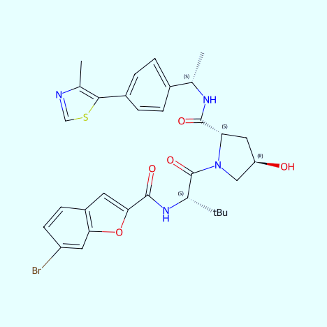 Cc1ncsc1-c1ccc([C@H](C)NC(=O)[C@@H]2C[C@@H](O)CN2C(=O)[C@@H](NC(=O)c2cc3ccc(Br)cc3o2)C(C)(C)C)cc1